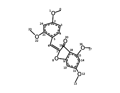 COc1ccc(C=C2Oc3cc(OC)cc(OC)c3C2=O)c(OC)c1